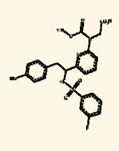 CC(C)(C)OC(=O)N(CC(=O)O)c1cccc(C(Cc2ccc(C(C)(C)C)cc2)NS(=O)(=O)c2cccc(F)c2)n1